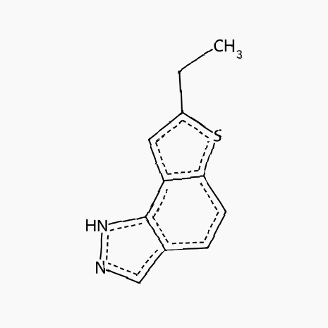 CCc1cc2c(ccc3cn[nH]c32)s1